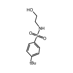 CC(C)(C)c1ccc(S(=O)(=O)NCCO)cc1